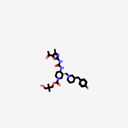 CC(=O)c1sc(NC(=O)N[C@@H]2CCN(C(=O)OCC(C)(C)CO)C[C@H]2CN2CCCC(Cc3ccc(F)cc3)C2)nc1C